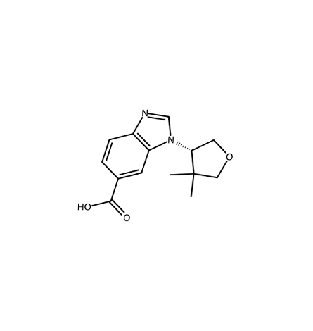 CC1(C)COC[C@H]1n1cnc2ccc(C(=O)O)cc21